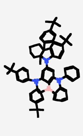 CC(C)(C)c1ccc(N2c3ccc(C(C)(C)C)cc3B3c4ccccc4N(c4ccccc4)c4cc(N5c6ccc(C(C)(C)C)cc6C6(c7ccc(C(C)(C)C)cc7)CCCCC56C)cc2c43)cc1